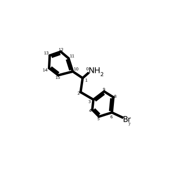 NC(Cc1ccc(Br)cc1)c1ccccc1